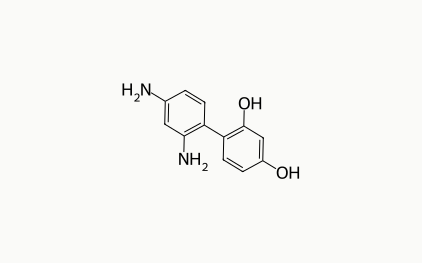 Nc1ccc(-c2ccc(O)cc2O)c(N)c1